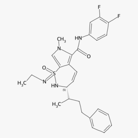 CCN=S1(=O)N[C@@H](C(C)CCc2ccccc2)C=Cc2c1cn(C)c2C(=O)Nc1ccc(F)c(F)c1